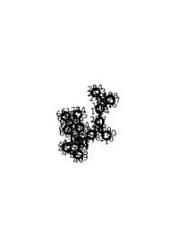 c1ccc(N(c2ccc(-c3ccc4c(c3)c3ccccc3n4-c3ccccc3)cc2)c2ccc(-c3nc4c5ccccc5c5ccccc5c4nc3-c3ccc4c(c3)C3(c5ccccc5-c5ccccc53)c3ccccc3-4)cc2)cc1